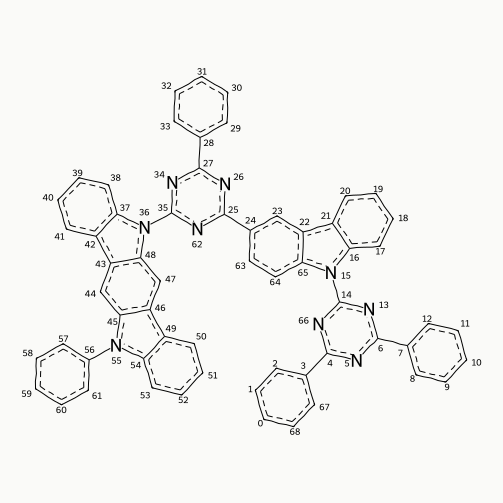 c1ccc(-c2nc(-c3ccccc3)nc(-n3c4ccccc4c4cc(-c5nc(-c6ccccc6)nc(-n6c7ccccc7c7cc8c(cc76)c6ccccc6n8-c6ccccc6)n5)ccc43)n2)cc1